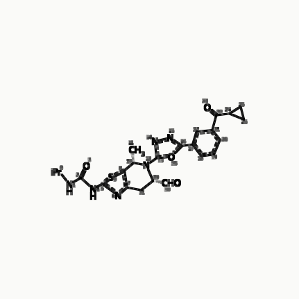 CC(C)NC(=O)Nc1nc2c(s1)[C@H](C)N(c1nnc(-c3cccc(C(=O)C4CC4)c3)o1)[C@H](C=O)C2